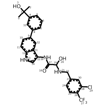 CC(C)(O)c1cccc(-c2ccc3[nH]cc(NC(=O)C(O)NCc4ccc(C(F)(F)F)c(Cl)c4)c3c2)c1